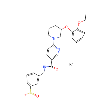 CCOc1ccccc1OC1CCCN(c2ccc(C(=O)NCc3cccc(S(=O)[O-])c3)cn2)C1.[K+]